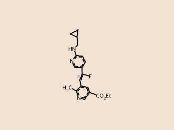 CCOC(=O)c1cnc(C)c(/C=C(\F)c2ccc(NCC3CC3)nc2)c1